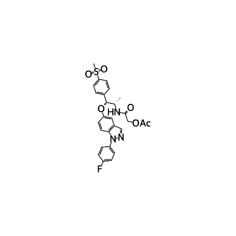 CC(=O)OCC(=O)N[C@@H](C)[C@@H](Oc1ccc2c(cnn2-c2ccc(F)cc2)c1)c1ccc(S(C)(=O)=O)cc1